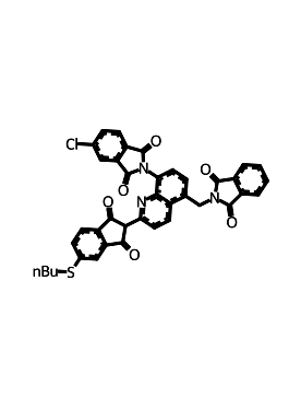 CCCCSc1ccc2c(c1)C(=O)C(c1ccc3c(CN4C(=O)c5ccccc5C4=O)ccc(N4C(=O)c5ccc(Cl)cc5C4=O)c3n1)C2=O